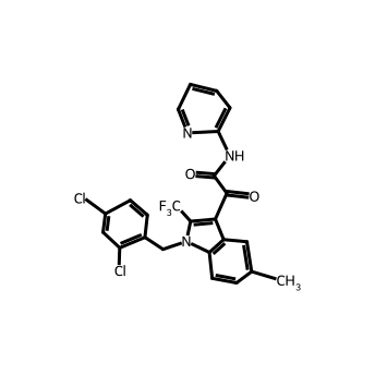 Cc1ccc2c(c1)c(C(=O)C(=O)Nc1ccccn1)c(C(F)(F)F)n2Cc1ccc(Cl)cc1Cl